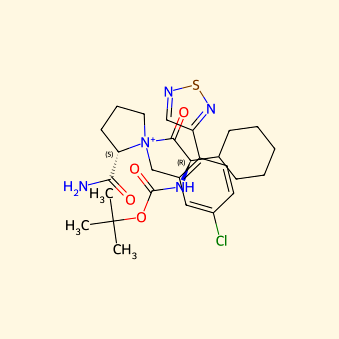 CC(C)(C)OC(=O)N[C@@H](C(=O)[N+]1(Cc2cc(Cl)ccc2-c2cnsn2)CCC[C@H]1C(N)=O)C1CCCCC1